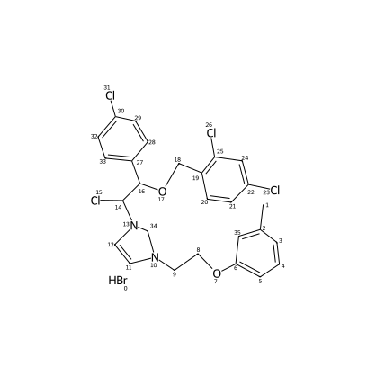 Br.Cc1cccc(OCCN2C=CN(C(Cl)C(OCc3ccc(Cl)cc3Cl)c3ccc(Cl)cc3)C2)c1